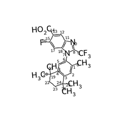 Cc1cc2c(cc1-n1c(C(F)(F)F)nc3cc(C(=O)O)c(F)cc31)C(C)(C)CCC2(C)C